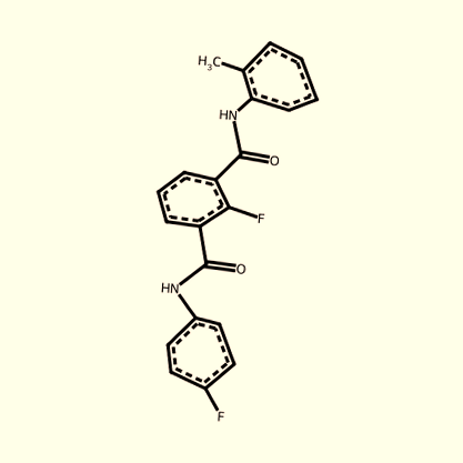 Cc1ccccc1NC(=O)c1cccc(C(=O)Nc2ccc(F)cc2)c1F